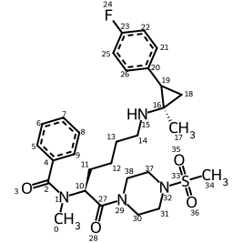 CN(C(=O)c1ccccc1)[C@@H](CCCCN[C@]1(C)CC1c1ccc(F)cc1)C(=O)N1CCN(S(C)(=O)=O)CC1